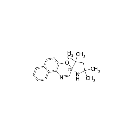 CC1(C)CC(C)(C)[C@]2(C=Nc3c(ccc4ccccc34)O2)N1